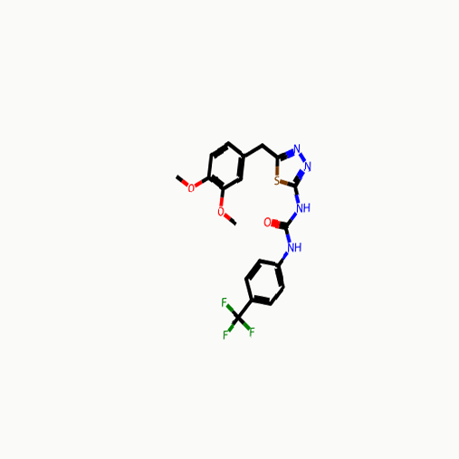 COc1ccc(Cc2nnc(NC(=O)Nc3ccc(C(F)(F)F)cc3)s2)cc1OC